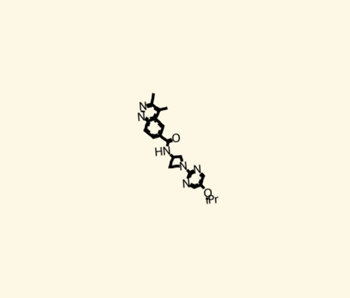 Cc1nnc2ccc(C(=O)NC3CN(c4ncc(OC(C)C)cn4)C3)cc2c1C